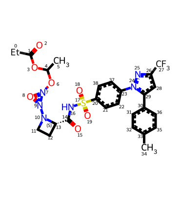 CCC(=O)OC(C)On1on1N1CC[C@H]1C(=O)NS(=O)(=O)c1ccc(-n2nc(C(F)(F)F)cc2-c2ccc(C)cc2)cc1